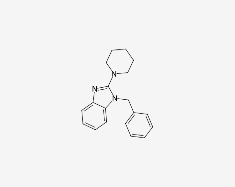 c1ccc(Cn2c(N3CCCCC3)nc3ccccc32)cc1